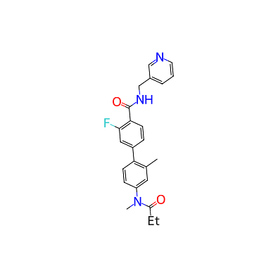 CCC(=O)N(C)c1ccc(-c2ccc(C(=O)NCc3cccnc3)c(F)c2)c(C)c1